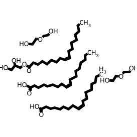 CCCCCCCC/C=C\CCCCCCCC(=O)O.CCCCCCCC/C=C\CCCCCCCC(=O)O.CCCCCCCC/C=C\CCCCCCCC(=O)OCC(O)CO.OCCOCCO.OCCOCCO